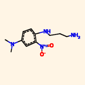 CN(C)c1ccc(NCCCN)c([N+](=O)[O-])c1